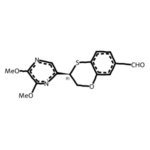 COc1ncc([C@@H]2COc3cc(C=O)ccc3S2)nc1OC